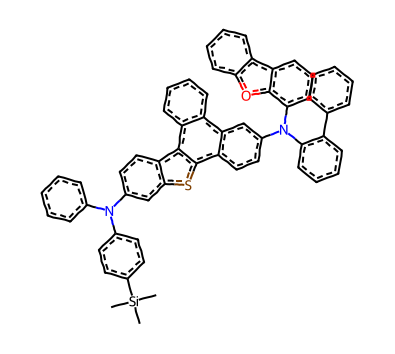 C[Si](C)(C)c1ccc(N(c2ccccc2)c2ccc3c(c2)sc2c4ccc(N(c5ccccc5-c5ccccc5)c5cccc6c5oc5ccccc56)cc4c4ccccc4c32)cc1